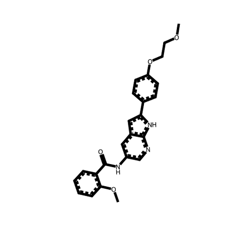 COCCOc1ccc(-c2cc3cc(NC(=O)c4ccccc4OC)cnc3[nH]2)cc1